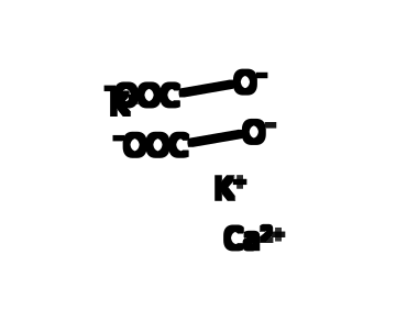 O=C([O-])[O-].O=C([O-])[O-].[Ca+2].[K+].[K+]